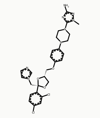 Cn1nc(N)nc1N1CCN(c2ccc(OC[C@@H]3CO[C@@](Cn4ccnc4)(c4ccc(Cl)cc4Cl)O3)cc2)CC1